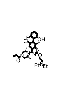 C=CC(=O)N1C[C@@H](C)N(c2nc(OCCN(CC)CC)nc3c(F)c(-c4c(O)cccc4F)c(Cl)cc23)[C@@H](C)C1